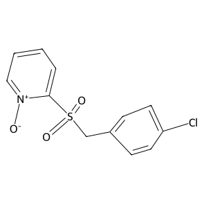 O=S(=O)(Cc1ccc(Cl)cc1)c1cccc[n+]1[O-]